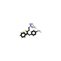 Cc1ccc(Cc2c(CCN(C)C)sc3ccccc23)cc1